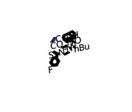 CCCCN(C(=O)C12CC3CC(CC(C3)C1)C2)N1CCN(c2csc3cc(F)ccc23)CC1.O=C(O)/C=C\C(=O)O